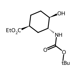 CCOC(=O)[C@H]1CC[C@@H](O)[C@H](NC(=O)OC(C)(C)C)C1